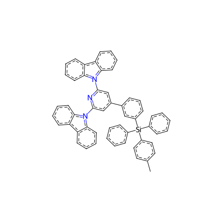 Cc1ccc([Si](c2ccccc2)(c2ccccc2)c2cccc(-c3cc(-n4c5ccccc5c5ccccc54)nc(-n4c5ccccc5c5ccccc54)c3)c2)cc1